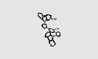 N#Cc1ccc2c3ccccc3n(-c3cccc(-c4ccc(-c5ccccc5-n5c6ccccc6c6ccccc65)c(C#N)c4)c3)c2c1